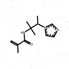 C=C(C)C(=O)NC(C)(C)C(C)n1ccnc1